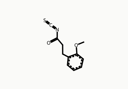 COc1ccccc1CCC(=O)N=C=S